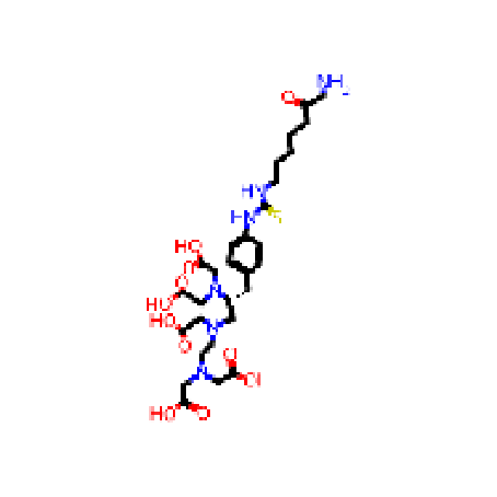 NCC(=O)CCCCCNC(=S)Nc1ccc(C[C@H](CN(CCN(CC(=O)O)CC(=O)O)CC(=O)O)N(CC(=O)O)CC(=O)O)cc1